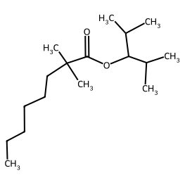 CCCCCCC(C)(C)C(=O)OC(C(C)C)C(C)C